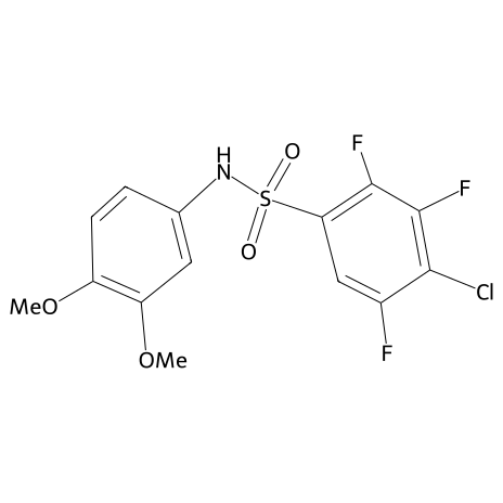 COc1ccc(NS(=O)(=O)c2cc(F)c(Cl)c(F)c2F)cc1OC